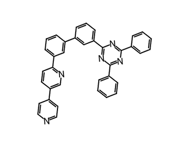 c1ccc(-c2nc(-c3ccccc3)nc(-c3cccc(-c4cccc(-c5ccc(-c6ccncc6)cn5)c4)c3)n2)cc1